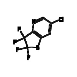 FC1(F)Sc2cc(Cl)cnc2C1(F)F